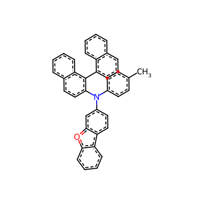 Cc1ccc(N(c2ccc3c(c2)oc2ccccc23)c2ccc3ccccc3c2-c2cccc3ccccc23)cc1